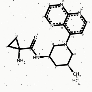 C[C@H]1C[C@@H](NC(=O)C2(N)CC2)CN(c2ccnc3nccnc23)C1.Cl